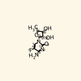 C[C@H]1O[C@@H](n2cc(F)c(N)nc2=O)[C@@H](O)[C@H]1O